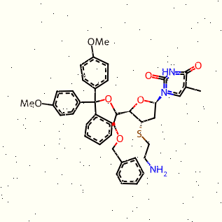 COc1ccc(C(OC(COCc2ccccc2)[C@H]2O[C@@H](n3cc(C)c(=O)[nH]c3=O)C[C@@H]2SCCN)(c2ccccc2)c2ccc(OC)cc2)cc1